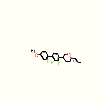 C/C=C/C1CCC(c2ccc(-c3ccc(OCC)cc3F)c(F)c2F)CO1